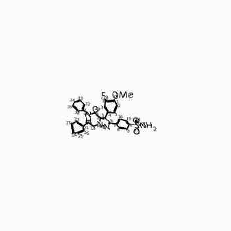 COc1ccc(-c2c(-c3ccc(S(N)(=O)=O)cc3)nn(CCc3ccccc3)c2C(=O)Nc2ccccc2)cc1F